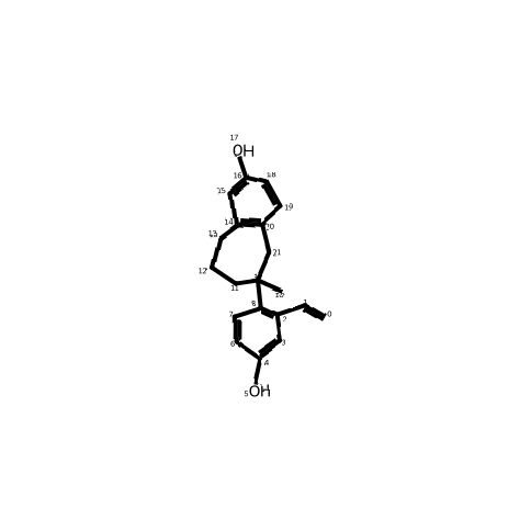 C=Cc1cc(O)ccc1C1(C)CCCc2cc(O)ccc2C1